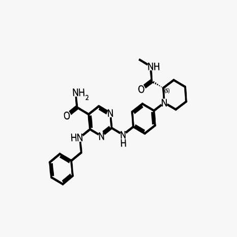 CNC(=O)[C@@H]1CCCCN1c1ccc(Nc2ncc(C(N)=O)c(NCc3ccccc3)n2)cc1